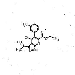 CCOC(=O)c1nc2[nH]nc(C(C)C)c2c(Cl)c1-c1cccc(C)c1